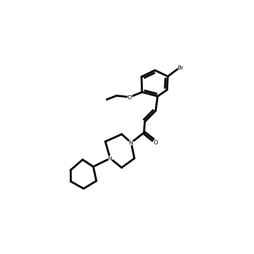 CCOc1ccc(Br)cc1C=CC(=O)N1CCN(C2CCCCC2)CC1